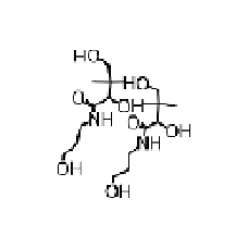 CC(C)(CO)C(O)C(=O)NCCCO.CC(C)(CO)C(O)C(=O)NCCCO